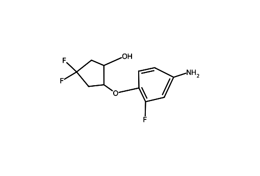 Nc1ccc(OC2CC(F)(F)CC2O)c(F)c1